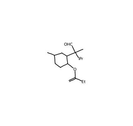 C=C(CC)OC1CCC(C)CC1C(C)(C=O)C(C)C